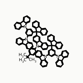 CC(C)(C)c1ccc(-n2c3ccc(C4(c5cc(-n6c7ccccc7c7ccccc76)cc(-n6c7ccccc7c7ccccc76)c5)c5ccccc5-c5ccccc54)cc3c3cc(C4(c5cc(-n6c7ccccc7c7ccccc76)cc(-n6c7ccccc7c7ccccc76)c5)c5ccccc5-c5ccccc54)ccc32)cc1